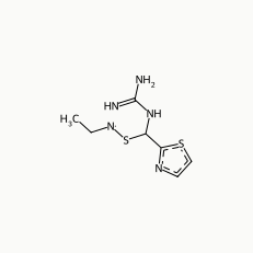 CC[N]SC(NC(=N)N)c1nccs1